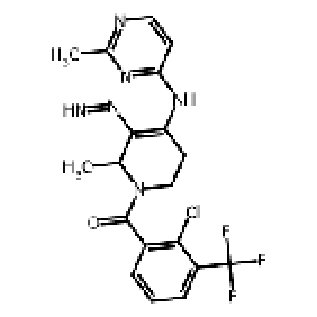 Cc1nccc(NC2=C(N=N)C(C)N(C(=O)c3cccc(C(F)(F)F)c3Cl)CC2)n1